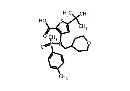 Cc1ccc(P(C)(=O)N(CC2CCOCC2)c2cc(C(C)(C)C)sc2C(=O)O)cc1